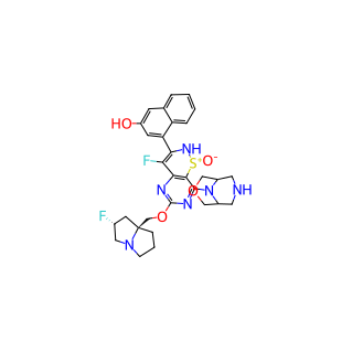 [O-][S+]1NC(c2cc(O)cc3ccccc23)=C(F)c2nc(OC[C@@]34CCCN3C[C@H](F)C4)nc(N3C4CNCC3COC4)c21